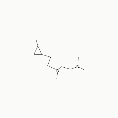 CC1CC1CCN(C)CCN(C)C